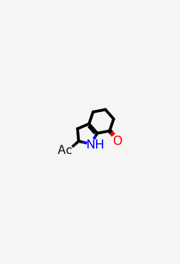 CC(=O)C1CC2=C(N1)C(=O)CCC2